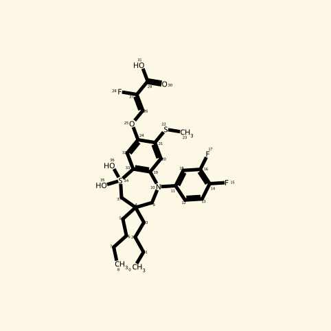 CCCCC1(CCCC)CN(c2ccc(F)c(F)c2)c2cc(SC)c(OC=C(F)C(=O)O)cc2S(O)(O)C1